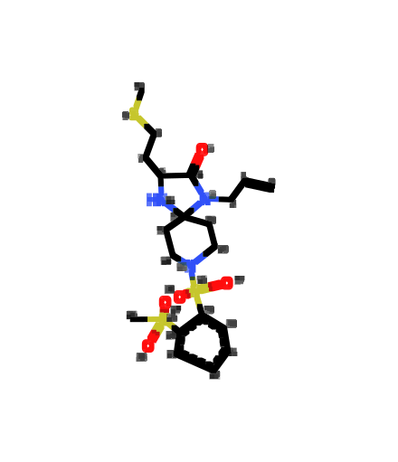 C=CCN1C(=O)C(CCSC)NC12CCN(S(=O)(=O)c1ccccc1S(C)(=O)=O)CC2